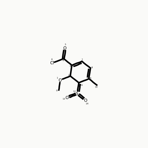 COC1C(C(=O)Cl)=CC=C(C)C1=S(=O)=O